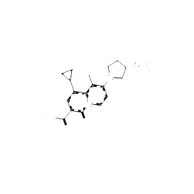 Cc1c(N2CC[C@H](N)C2)ccn2c(=O)c(C(=O)O)cc(C3CC3)c12